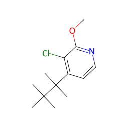 COc1nccc(C(C)(C)C(C)(C)C)c1Cl